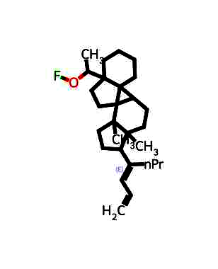 C=C/C=C(\CCC)C1CCC2(C)C1(C)CCC1C34CCCCC3(C(C)OF)CCC124